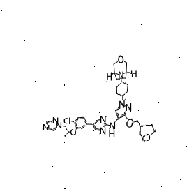 C[C@@H](Cn1cncn1)Oc1cc(-c2cnc(Nc3cn(C4CCC(N5[C@@H]6CC[C@H]5COC6)CC4)nc3OCC3CCOC3)nc2)ccc1Cl